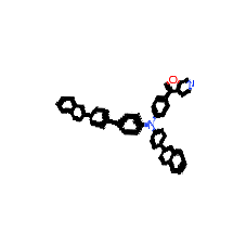 c1ccc2cc(-c3ccc(-c4ccc(N(c5ccc(-c6ccc7ccccc7c6)cc5)c5ccc(-c6coc7cnccc67)cc5)cc4)cc3)ccc2c1